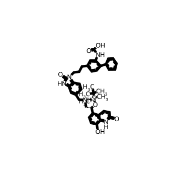 CC(C)(C)[Si](C)(C)O[C@@H](CNCc1ccc2c(c1)[nH]c(=O)n2CCCc1ccc(-c2ccccc2)c(NC(=O)O)c1)c1ccc(O)c2[nH]c(=O)ccc12